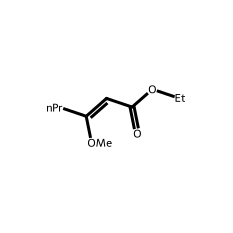 CCC/C(=C/C(=O)OCC)OC